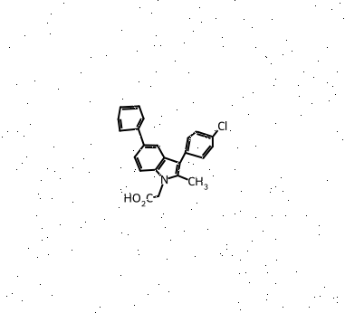 Cc1c(-c2ccc(Cl)cc2)c2cc(-c3ccccc3)ccc2n1CC(=O)O